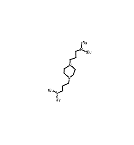 CC(C)N(CCCN1CCN(CCCN(C(C)(C)C)C(C)(C)C)CC1)C(C)(C)C